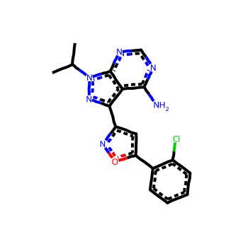 CC(C)n1nc(-c2cc(-c3ccccc3Cl)on2)c2c(N)ncnc21